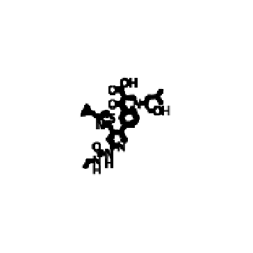 CCNC(=O)Nc1cc(-c2nc(C3CC3)cs2)c(-c2ccc3c(c2)c(=O)c(C(=O)O)cn3[C@H](CO)CC(C)C)cn1